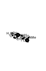 CNC(=O)c1ccccc1Nc1nc(Nc2ccc3c(c2)N(C)CCN(C(=O)N(C)C)C3)ncc1Cl